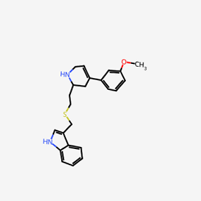 COc1cccc(C2=CCNC(CCSCc3c[nH]c4ccccc34)C2)c1